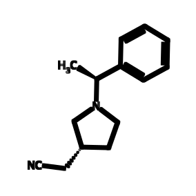 C[C@@H](c1ccccc1)N1CC[C@H](CC#N)C1